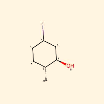 C[C@@H]1CCC(I)C[C@H]1O